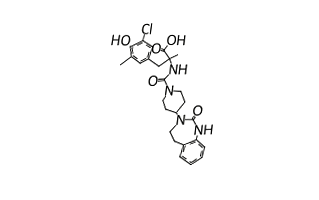 Cc1cc(CC(C)(NC(=O)N2CCC(N3CCc4ccccc4NC3=O)CC2)C(=O)O)cc(Cl)c1O